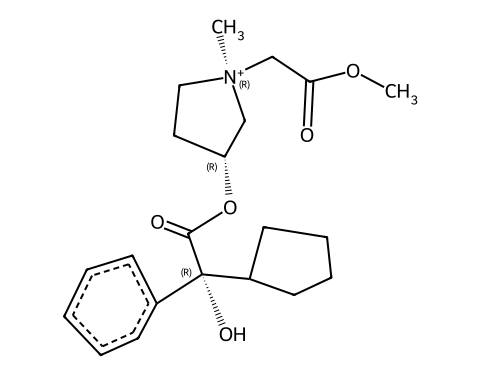 COC(=O)C[N@+]1(C)CC[C@@H](OC(=O)[C@](O)(c2ccccc2)C2CCCC2)C1